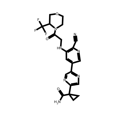 N#Cc1ncc(-c2cnc(C3(C(N)=O)CC3)cn2)cc1NCC(=O)N1CCOCC1C(F)(F)F